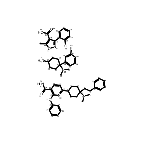 CN(C)C1(CCc2ccccc2)CCC(c2ccc(C(N)=O)c(Oc3ccccc3)n2)CC1.CN(C)C1(c2cccc(F)c2)CCC(N)CC1.Cc1onc(-c2ccccc2Cl)c1C(=O)O